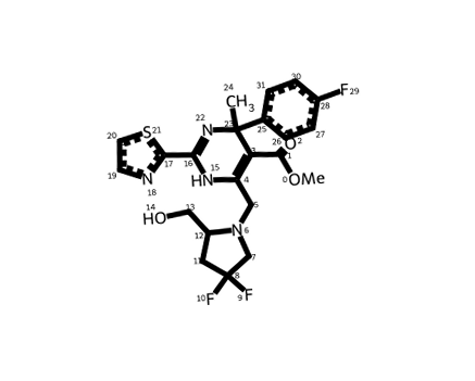 COC(=O)C1=C(CN2CC(F)(F)CC2CO)NC(c2nccs2)=NC1(C)c1ccc(F)cc1